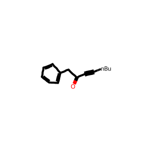 CCCCC#CC(=O)Cc1ccccc1